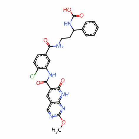 COc1ncc2cc(C(=O)Nc3cc(C(=O)NCCC(NC(=O)O)c4ccccc4)ccc3Cl)c(=O)[nH]c2n1